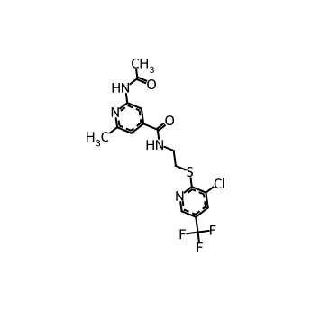 CC(=O)Nc1cc(C(=O)NCCSc2ncc(C(F)(F)F)cc2Cl)cc(C)n1